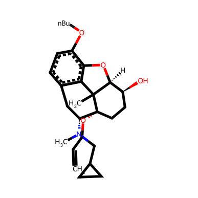 C=CCO[C@@]12CC[C@H](O)[C@@H]3Oc4c(OCCCC)ccc(c4C31C)C[C@H]2N(C)CC1CC1